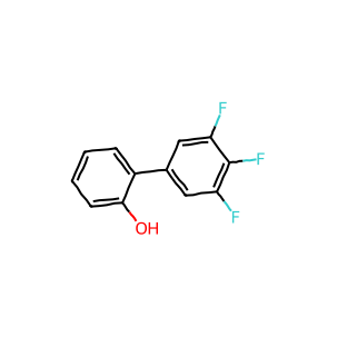 Oc1ccccc1-c1cc(F)c(F)c(F)c1